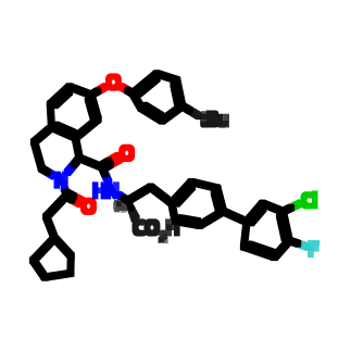 CC(C)(C)c1ccc(Oc2ccc3c(c2)C(C(=O)N[C@@H](Cc2ccc(-c4ccc(F)c(Cl)c4)cc2)C(=O)O)N(C(=O)CC2CCCC2)CC3)cc1